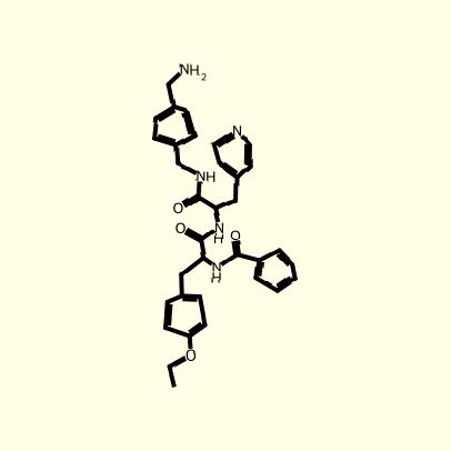 CCOc1ccc(CC(NC(=O)c2ccccc2)C(=O)NC(Cc2ccncc2)C(=O)NCc2ccc(CN)cc2)cc1